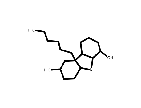 CCCCCCC12CC(C)CCC1NC1C(O)CCCC12